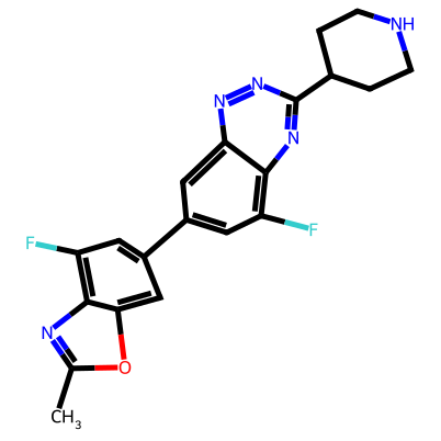 Cc1nc2c(F)cc(-c3cc(F)c4nc(C5CCNCC5)nnc4c3)cc2o1